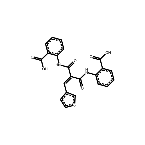 O=C(Nc1ccccc1C(=O)O)C(=Cc1ccsc1)C(=O)Nc1ccccc1C(=O)O